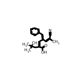 CC(C#N)=CC(=Cc1ccccc1)C=C(CC(C)(C)C)C(=O)O